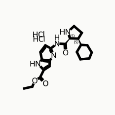 CCOC(=O)c1cc2nc(NC(=O)[C@H]3NCC[C@H]3C3CCCCC3)ccc2[nH]1.Cl.Cl